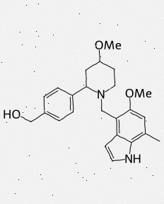 COc1cc(C)c2[nH]ccc2c1CN1CCC(OC)CC1c1ccc(CO)cc1